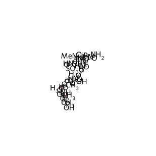 CN[C@H](CCC(=O)NCC(=O)S(=O)(=O)O)C(=O)N[C@H](C(=O)N[C@@H](CCCNC(N)=O)C(=O)Nc1ccc(COC(=O)N[C@@H](CO)C(=O)Nc2ccc3c(c2)[C@@]2(C)CCC[C@](C)(C(=O)NC(=O)[C@@]4(C)CCC[C@]5(C)c6cc(O)ccc6CC[C@@H]45)[C@@H]2CC3)cc1)C(C)C